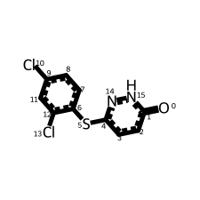 O=c1ccc(Sc2ccc(Cl)cc2Cl)n[nH]1